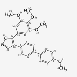 COc1ccc(-c2ccc(-c3cnoc3-c3cc(OC)c(OC)c(OC)c3)cc2)cc1